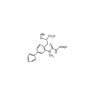 CCCCCCCNC(=O)N(C)c1cc(-c2ccccc2)ccc1CC(OCCCC)C(=O)O